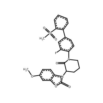 COc1ccc2c(c1)oc(=O)n2C1CCCN(c2ccc(-c3ccccc3S(C)(=O)=O)cc2F)C1=O